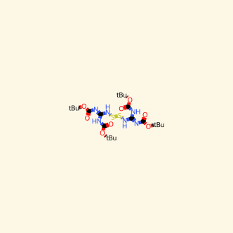 CC(C)(C)OC(=O)/N=C(/NSSN/C(=N/C(=O)OC(C)(C)C)NC(=O)OC(C)(C)C)NC(=O)OC(C)(C)C